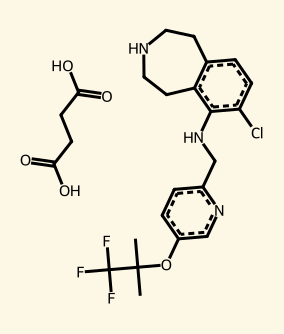 CC(C)(Oc1ccc(CNc2c(Cl)ccc3c2CCNCC3)nc1)C(F)(F)F.O=C(O)CCC(=O)O